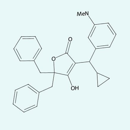 CNc1cccc(C(C2=C(O)C(Cc3ccccc3)(Cc3ccccc3)OC2=O)C2CC2)c1